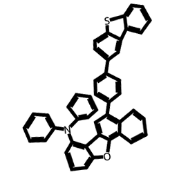 c1ccc(N(c2ccccc2)c2cccc3oc4c5ccccc5c(-c5ccc(-c6ccc7sc8ccccc8c7c6)cc5)cc4c23)cc1